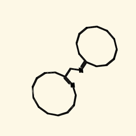 C1CCCCCC(=NC/C2=N/CCCCCCCCCCC2)CCCCC1